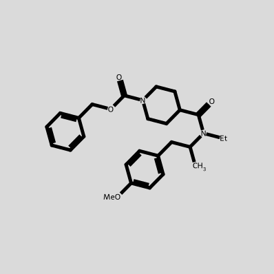 CCN(C(=O)C1CCN(C(=O)OCc2ccccc2)CC1)C(C)Cc1ccc(OC)cc1